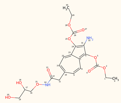 CCOC(=O)Oc1c2ccc(CC(=O)NOCC(O)CO)ccc-2c(OC(=O)OCC)c1N